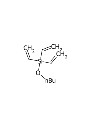 C=C[Si](C=C)(C=C)OCCCC